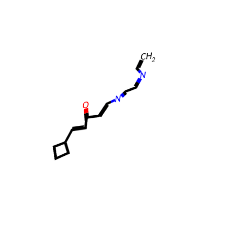 C=C\N=C/C=N/C=C/C(=O)/C=C/C1CCC1